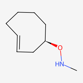 CNO[C@H]1C/C=C/CCCC1